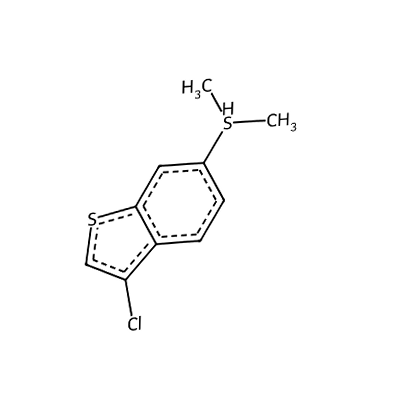 C[SH](C)c1ccc2c(Cl)csc2c1